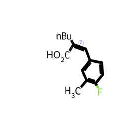 CCCC/C(=C/c1ccc(F)c(C)c1)C(=O)O